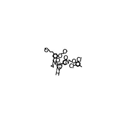 COCCCc1cc(CN(C(=O)[C@H]2CNCC[C@]2(C)c2ccn(CCOc3c(Cl)cc(C)cc3Cl)c(=O)c2)C2CC2)cc(OCCOC)c1